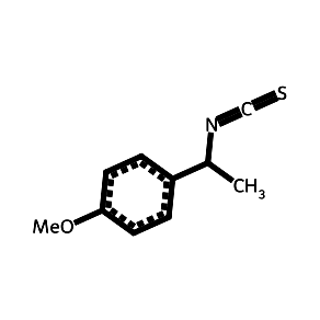 COc1ccc(C(C)N=C=S)cc1